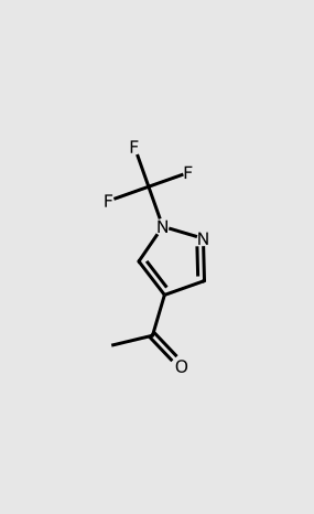 CC(=O)c1cnn(C(F)(F)F)c1